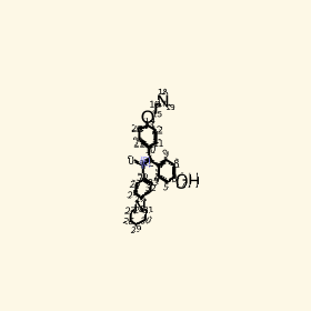 C/C(=C(/c1ccc(O)cc1)c1ccc(OCCN(C)C)cc1)c1ccc(N2CCCCC2)cc1